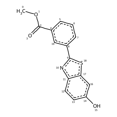 COC(=O)c1cccc(-c2nc3ccc(O)cc3s2)c1